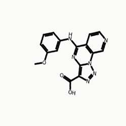 COc1cccc(Nc2nc3c(C(=O)O)nnn3c3cnccc23)c1